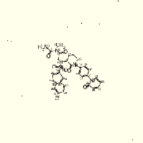 CN(C(N)=O)C(=O)CN(C1CCCN(c2ccc(-n3ccccc3=O)cc2)C1=O)S(=O)(=O)c1ccc2cc(Cl)ccc2c1